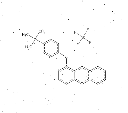 CC(C)(C)c1ccc(Sc2cccc3cc4ccccc4cc23)cc1.F[B-](F)(F)F